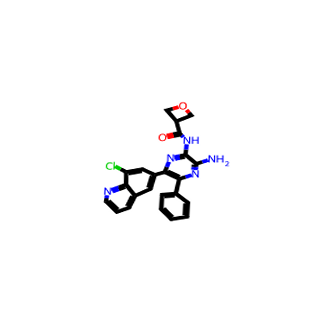 Nc1nc(-c2ccccc2)c(-c2cc(Cl)c3ncccc3c2)nc1NC(=O)C1COC1